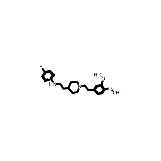 COc1ccc(CCN2CCC(CCNc3ccc(F)cc3)CC2)cc1OC